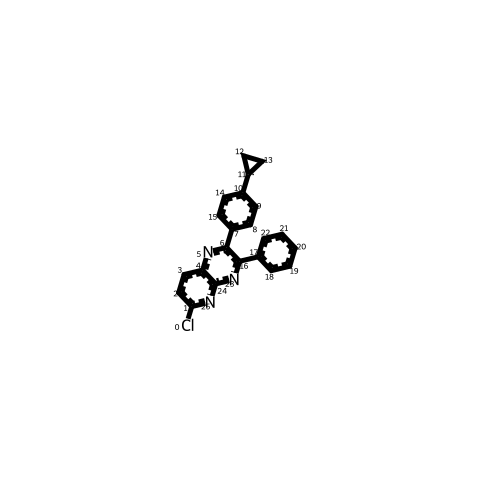 Clc1ccc2nc(-c3ccc([C]4CC4)cc3)c(-c3ccccc3)nc2n1